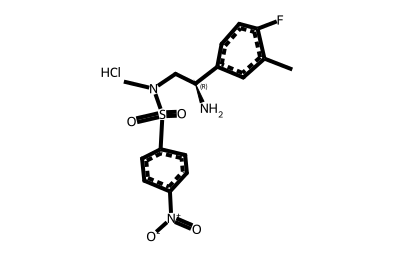 Cc1cc([C@@H](N)CN(C)S(=O)(=O)c2ccc([N+](=O)[O-])cc2)ccc1F.Cl